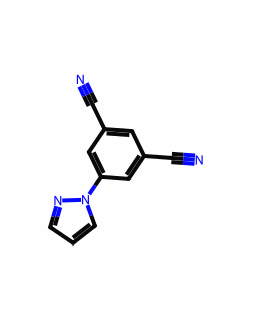 N#Cc1cc(C#N)cc(-n2c[c]cn2)c1